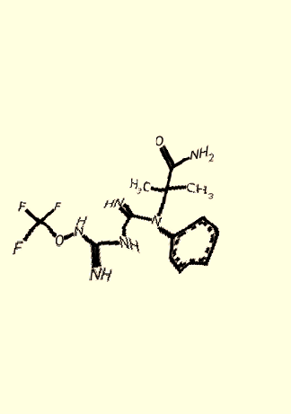 CC(C)(C(N)=O)N(C(=N)NC(=N)NOC(F)(F)F)c1ccccc1